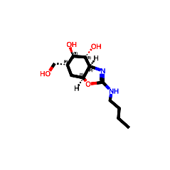 CCCCNC1=N[C@@H]2[C@@H](O)[C@H](O)[C@@H](CO)C[C@@H]2O1